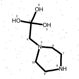 OC(O)(O)CN1CCNCC1